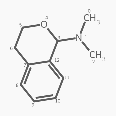 CN(C)C1OCCc2ccccc21